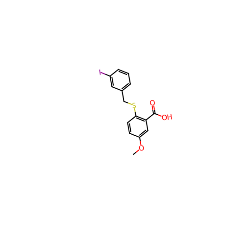 COc1ccc(SCc2cccc(I)c2)c(C(=O)O)c1